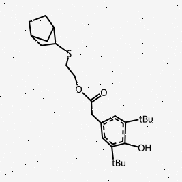 CC(C)(C)c1cc(CC(=O)OCCSC2CC3CCC2C3)cc(C(C)(C)C)c1O